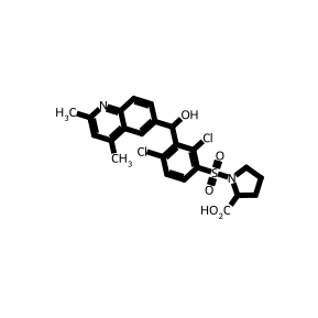 Cc1cc(C)c2cc(C(O)c3c(Cl)ccc(S(=O)(=O)N4CCCC4C(=O)O)c3Cl)ccc2n1